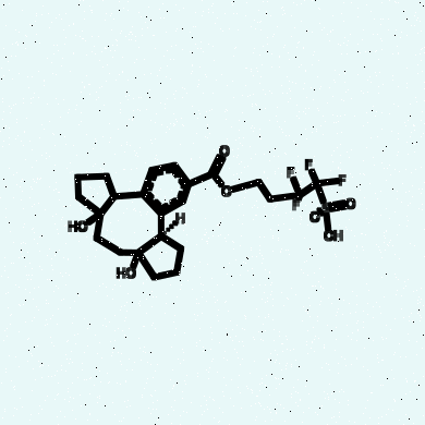 O=C(OCCC(F)(F)C(F)(F)S(=O)(=O)O)c1ccc2c(c1)[C@H]1CCCC1(O)CCC1(O)CCCC21